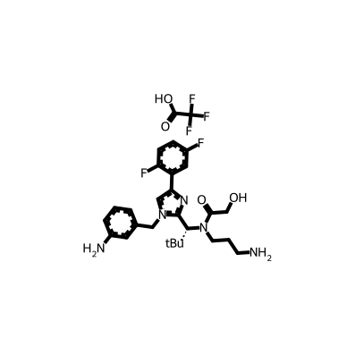 CC(C)(C)[C@H](c1nc(-c2cc(F)ccc2F)cn1Cc1cccc(N)c1)N(CCCN)C(=O)CO.O=C(O)C(F)(F)F